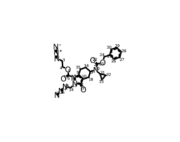 [N-]=[N+]=NCCOC(=O)n1c2c(c(=O)n1CN=[N+]=[N-])CC(N(C(=O)OCc1ccccc1)C1CC1)CC2